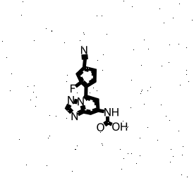 N#Cc1ccc(-c2cc(NC(=O)O)cc3ncnn23)c(F)c1